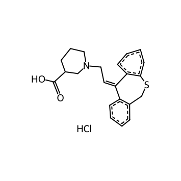 Cl.O=C(O)C1CCCN(CC=C2c3ccccc3CSc3ccccc32)C1